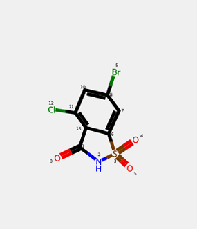 O=C1NS(=O)(=O)c2cc(Br)cc(Cl)c21